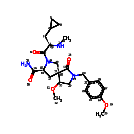 CN[C@@H](CC1CC1)C(=O)N1C[C@]2(C[C@H]1C(N)=O)C(=O)N(Cc1ccc(OC)cc1)CC2OC